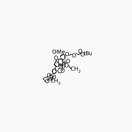 C=CCOC(=O)N1c2cc(OCCOCCC(=O)OC(C)(C)C)c(OC)cc2C(=O)N2CC=C(c3ccc(S(=O)(=O)N(C)C4CCCCO4)cc3)C[C@H]2C1OC1CCCCO1